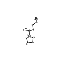 O=C(CCCBr)N1CCCC1